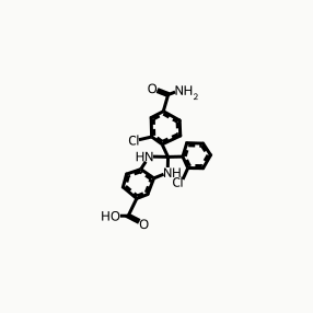 NC(=O)c1ccc(C2(c3ccccc3Cl)Nc3ccc(C(=O)O)cc3N2)c(Cl)c1